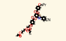 C=CC(=O)OCCCCOCC(COc1ccc(C(=O)Oc2ccc(OC(=O)c3ccc(OCCC)cc3)c3sc(-c4ccc(C#N)cc4)nc23)cc1)OC(=O)C=C